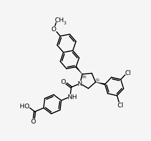 COc1ccc2cc([C@H]3C[C@@H](c4cc(Cl)cc(Cl)c4)CN3C(=O)Nc3ccc(C(=O)O)cc3)ccc2c1